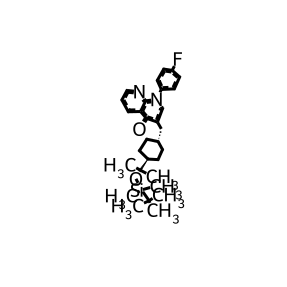 CC(C)(C)[Si](C)(C)OC(C)(C)[C@H]1CC[C@H](Cc2cn(-c3ccc(F)cc3)c3ncccc3c2=O)CC1